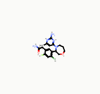 Cc1cc(N2CCCOCC2c2cc(CC(N)=O)c(F)cc2Cl)nc(N)n1